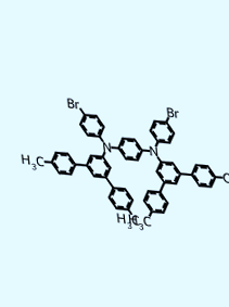 Cc1ccc(-c2cc(-c3ccc(C)cc3)cc(N(c3ccc(Br)cc3)c3ccc(N(c4ccc(Br)cc4)c4cc(-c5ccc(C)cc5)cc(-c5ccc(C)cc5)c4)cc3)c2)cc1